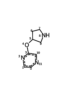 c1cnc(OC2CCNC2)cn1